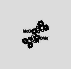 COc1cc(O)c(Op2oc3ccccc3c3ccccc3o2)c(-c2cc(OC)cc(O)c2Op2oc3ccccc3c3ccccc3o2)c1